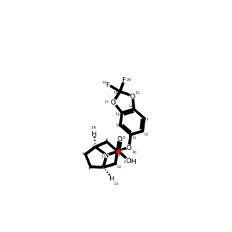 O=C(O)N1[C@@H]2CC[C@H]1C[C@@H](Oc1ccc3c(c1)OC(F)(F)O3)C2